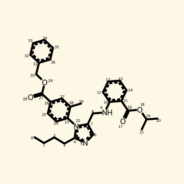 CCCCc1ncc(CNc2ccccc2C(=O)OC(C)C)n1-c1ccc(C(=O)OCc2ccccc2)cc1C